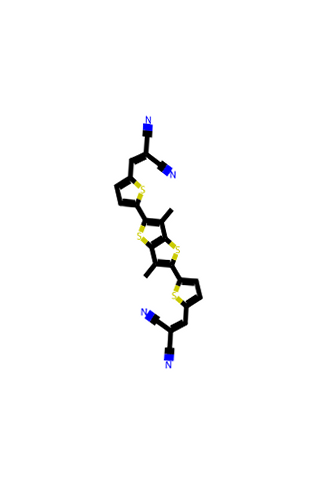 Cc1c(-c2ccc(C=C(C#N)C#N)s2)sc2c(C)c(-c3ccc(C=C(C#N)C#N)s3)sc12